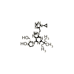 CC(C)(C)c1nc(N2CC[C@H](O)[C@@H]2CO)c2nnn(Cc3nnnn3C3CC3)c2n1